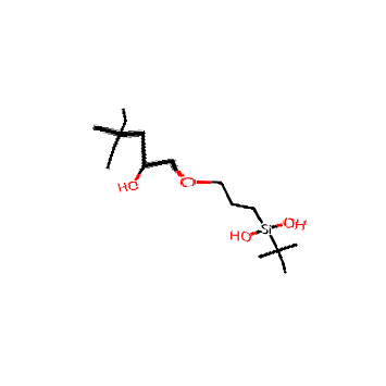 CC(C)(C)CC(O)COCCC[Si](O)(O)C(C)(C)C